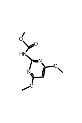 COC(=O)Nc1nc(OC)cc(OC)n1